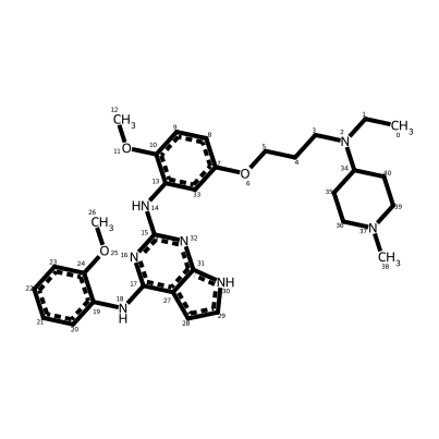 CCN(CCCOc1ccc(OC)c(Nc2nc(Nc3ccccc3OC)c3cc[nH]c3n2)c1)C1CCN(C)CC1